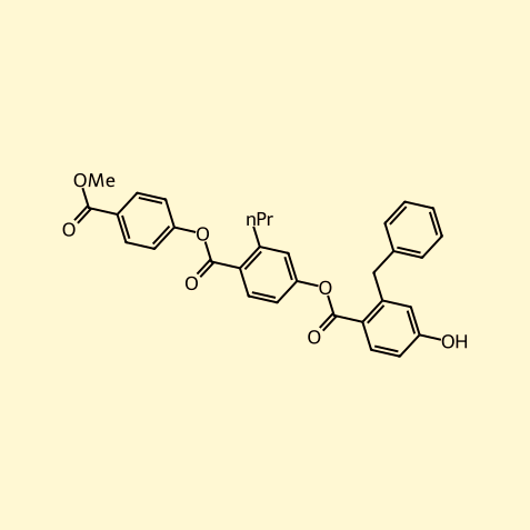 CCCc1cc(OC(=O)c2ccc(O)cc2Cc2ccccc2)ccc1C(=O)Oc1ccc(C(=O)OC)cc1